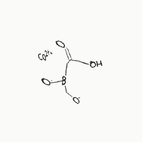 O=C(O)B([O-])[O-].[Co+2]